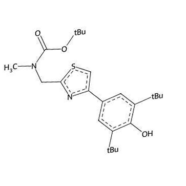 CN(Cc1nc(-c2cc(C(C)(C)C)c(O)c(C(C)(C)C)c2)cs1)C(=O)OC(C)(C)C